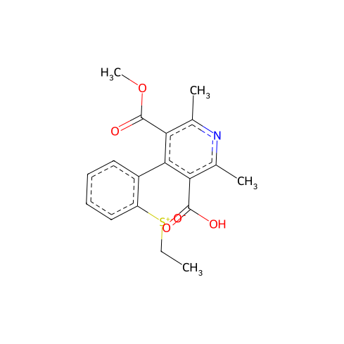 CC[S+]([O-])c1ccccc1-c1c(C(=O)O)c(C)nc(C)c1C(=O)OC